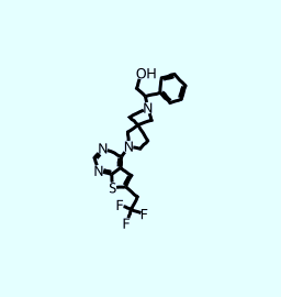 OCC(c1ccccc1)N1CC2(CCN(c3ncnc4sc(CC(F)(F)F)cc34)C2)C1